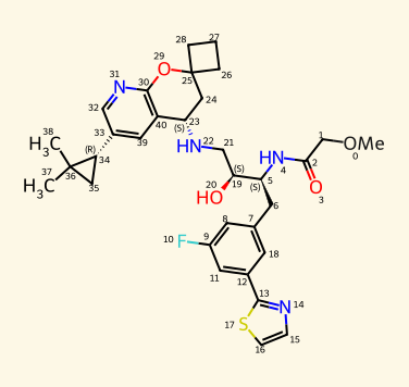 COCC(=O)N[C@@H](Cc1cc(F)cc(-c2nccs2)c1)[C@@H](O)CN[C@H]1CC2(CCC2)Oc2ncc([C@@H]3CC3(C)C)cc21